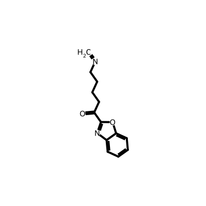 C=NCCCCC(=O)c1nc2ccccc2o1